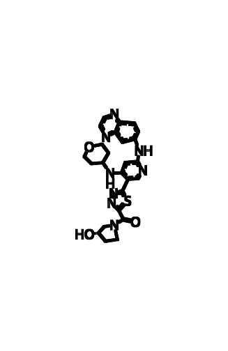 O=C(c1nnc(-c2cnc(Nc3ccc4nccnc4c3)cc2NC2CCOCC2)s1)N1CC[C@H](O)C1